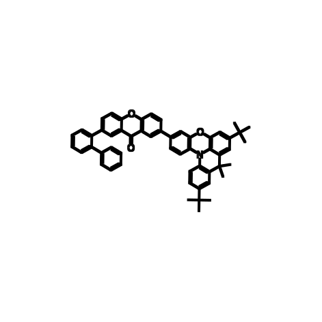 CC(C)(C)c1ccc2c(c1)C(C)(C)c1cc(C(C)(C)C)cc3c1N2c1ccc(-c2ccc4oc5ccc(-c6ccccc6-c6ccccc6)cc5c(=O)c4c2)cc1O3